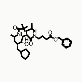 CC(C)C[C@H](C[C@H](O)[C@@H](CC1CCCCC1)CC(C)NC(=O)C(C)(C)C)C(=O)NCCCC(=O)OCc1ccccc1